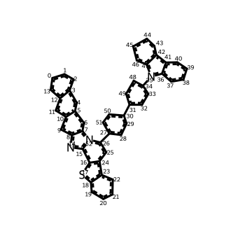 c1ccc2cc3cc4c(cc3cc2c1)nc1c2sc3ccccc3c2cc(-c2ccc(-c3ccc(-n5c6ccccc6c6ccccc65)cc3)cc2)n41